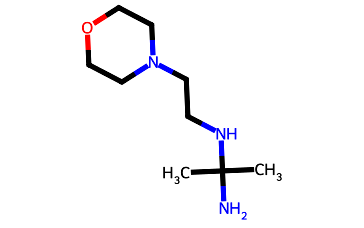 CC(C)(N)NCCN1CCOCC1